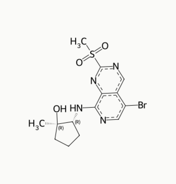 C[C@@]1(O)CCC[C@H]1Nc1ncc(Br)c2cnc(S(C)(=O)=O)nc12